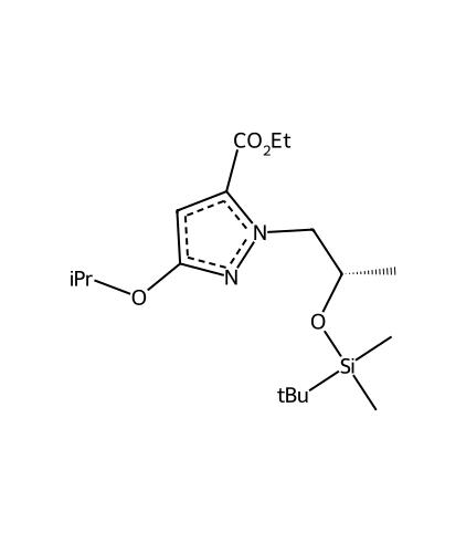 CCOC(=O)c1cc(OC(C)C)nn1C[C@H](C)O[Si](C)(C)C(C)(C)C